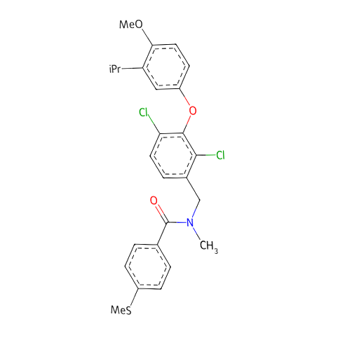 COc1ccc(Oc2c(Cl)ccc(CN(C)C(=O)c3ccc(SC)cc3)c2Cl)cc1C(C)C